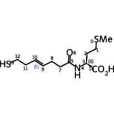 CSCC[C@H](NC(=O)CC/C=C/CCS)C(=O)O